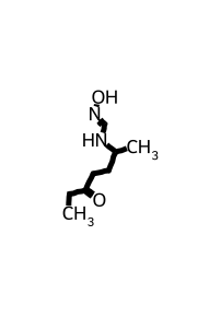 CCC(=O)CCC(C)NC=NO